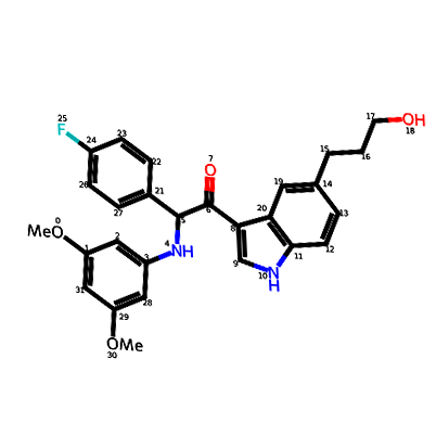 COc1cc(NC(C(=O)c2c[nH]c3ccc(CCCO)cc23)c2ccc(F)cc2)cc(OC)c1